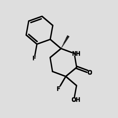 C[C@@]1(C2CC=CC=C2F)CCC(F)(CO)C(=O)N1